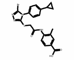 Cc1cc(C(=O)O)ccc1NC(=O)CSc1nnc(Br)n1-c1ccc(C2CC2)cc1